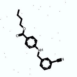 CCCCOC(=O)c1ccc(NCc2cccc(C#N)c2)cc1